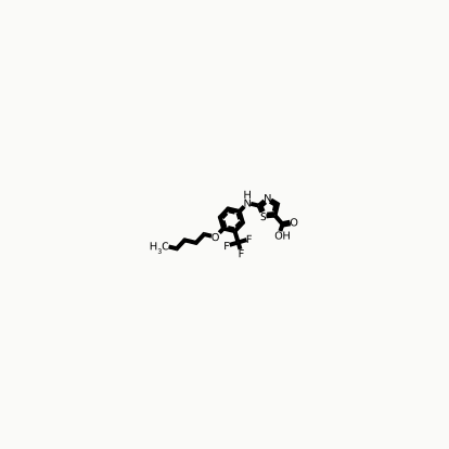 CCCCCOc1ccc(Nc2ncc(C(=O)O)s2)cc1C(F)(F)F